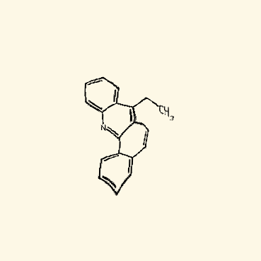 CCc1c2ccccc2nc2c1ccc1ccccc12